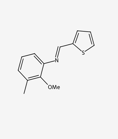 COc1c(C)cccc1N=Cc1cccs1